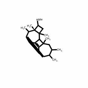 CNC1CC2(C)C3C4=C5C6C(=C(C46)C(C)[C@]12C)C(C)C(C)CC53C